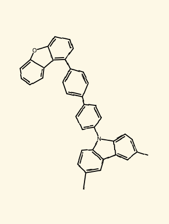 Cc1ccc2c(c1)c1cc(C)ccc1n2-c1ccc(-c2ccc(-c3cccc4oc5ccccc5c34)cc2)cc1